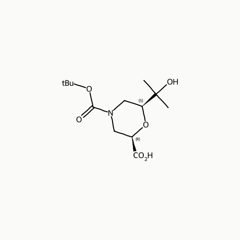 CC(C)(C)OC(=O)N1C[C@@H](C(C)(C)O)O[C@@H](C(=O)O)C1